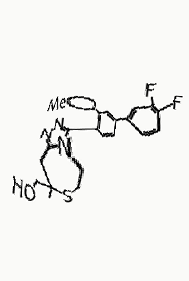 COc1cc(-c2ccc(F)c(F)c2)ccc1-c1nnc2n1CCSC(C)(CO)C2